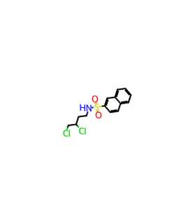 O=S(=O)(NCCC(Cl)CCl)c1ccc2ccccc2c1